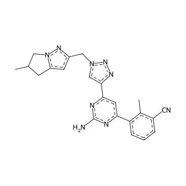 Cc1c(C#N)cccc1-c1cc(-c2cn(Cc3cc4n(n3)CC(C)C4)nn2)nc(N)n1